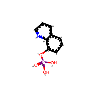 O=P(O)(O)Oc1cccc2cccnc12